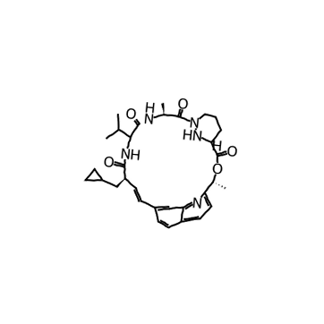 CC(C)C1NC(=O)[C@H](CC2CC2)/C=C/c2ccc3ccc(nc3c2)[C@@H](C)OC(=O)[C@@H]2CCCN(N2)C(=O)[C@H](C)NC1=O